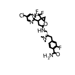 CN(C)[C@H](CNC(=O)CC(c1ncc(Cl)cn1)C1(C(F)(F)F)CC1)Cc1ccc(C(N)=O)c(F)c1